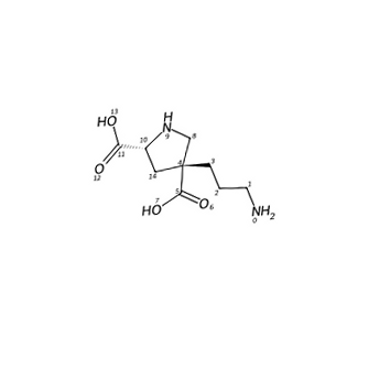 NCCC[C@]1(C(=O)O)CN[C@@H](C(=O)O)C1